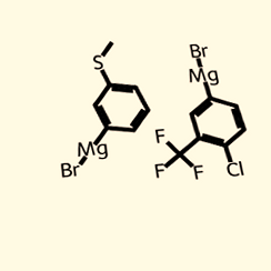 CSc1ccc[c]([Mg][Br])c1.FC(F)(F)c1c[c]([Mg][Br])ccc1Cl